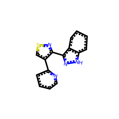 c1ccc(-c2csnc2-c2n[nH]c3ccccc23)nc1